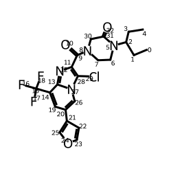 CCC(CC)N1CCN(C(=O)c2nc3c(C(F)(F)F)cc(-c4ccoc4)cn3c2Cl)CC1=O